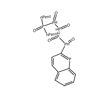 CCCCCP(=O)(CCCCC)[PH](=O)[PH](=O)[PH](=O)[PH](=O)c1ccc2ccccc2p1